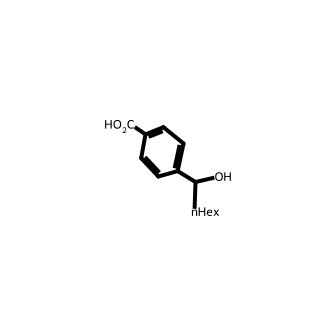 CCCCCCC(O)c1ccc(C(=O)O)cc1